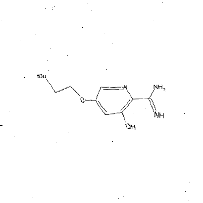 CC(C)(C)CCOc1cnc(C(=N)N)c(O)c1